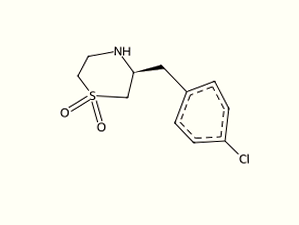 O=S1(=O)CCN[C@@H](Cc2ccc(Cl)cc2)C1